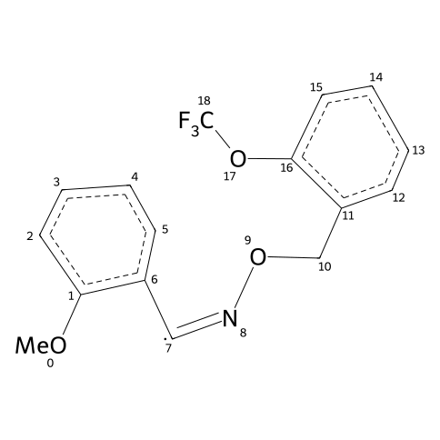 COc1ccccc1/[C]=N\OCc1ccccc1OC(F)(F)F